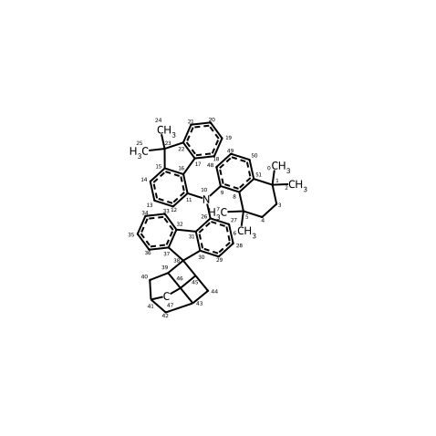 CC1(C)CCC(C)(C)c2c(N(c3cccc4c3-c3ccccc3C4(C)C)c3cccc4c3-c3ccccc3C43C4CC5CC6CC3C64C5)cccc21